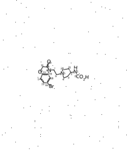 O=C(O)NC1CCN(CCN2C(=O)COc3ccc(Br)cc32)CC1